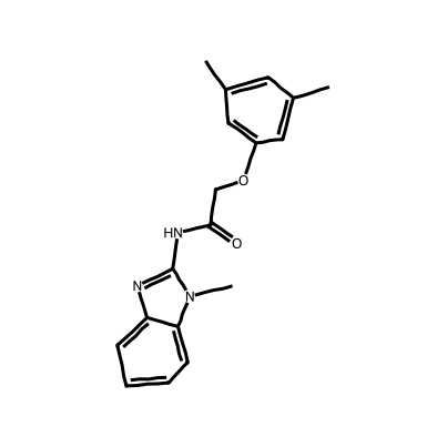 Cc1cc(C)cc(OCC(=O)Nc2nc3ccccc3n2C)c1